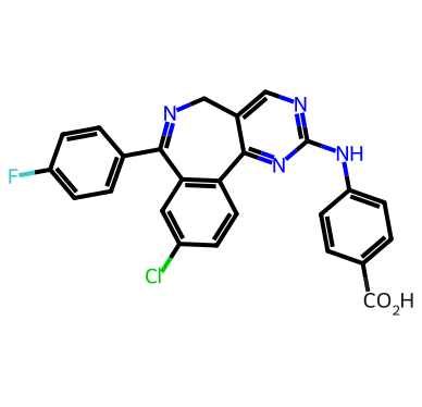 O=C(O)c1ccc(Nc2ncc3c(n2)-c2ccc(Cl)cc2C(c2ccc(F)cc2)=NC3)cc1